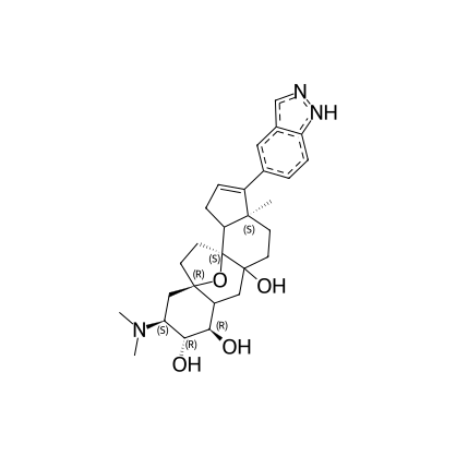 CN(C)[C@H]1C[C@@]23CC[C@]4(O2)C2CC=C(c5ccc6[nH]ncc6c5)[C@@]2(C)CCC4(O)CC3[C@@H](O)[C@@H]1O